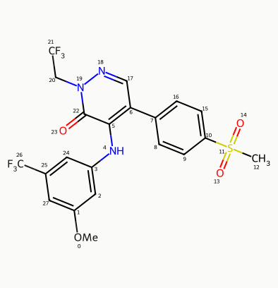 COc1cc(Nc2c(-c3ccc(S(C)(=O)=O)cc3)cnn(CC(F)(F)F)c2=O)cc(C(F)(F)F)c1